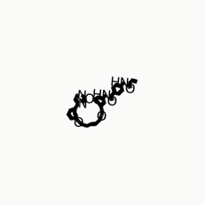 C=CC(=O)Nc1ccc(C(=O)Nc2cc3cc(c2)Oc2nccc(n2)-c2cccc(c2)OCC/C=C/COC3)cc1